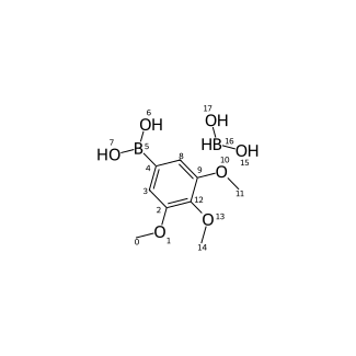 COc1cc(B(O)O)cc(OC)c1OC.OBO